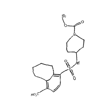 CC(C)(C)OC(=O)N1CCC(NS(=O)(=O)c2ccc(C(=O)O)c3c2CCCC3)CC1